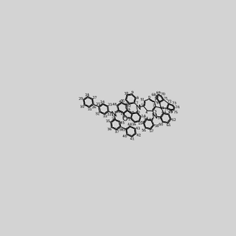 C1=CC2=C(CC(N(c3ccccc3)c3cccc4oc5c(N(c6ccc(-c7ccccc7)cc6)c6cccc(-c7ccccc7)c6)cccc5c34)=C1)N(c1ccccc1)c1ccccc1C21c2ccccc2-c2ccccc21